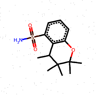 CC1c2c(cccc2S(N)(=O)=O)OC(C)(C)C1(C)C